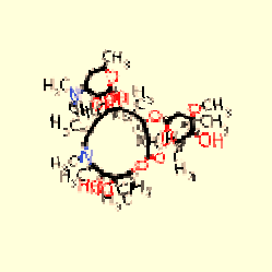 CC[C@H]1OC(=O)[C@H](C)[C@@H](O[C@H]2C[C@@](C)(OC)[C@@H](O)[C@H](C)O2)[C@H](C)[C@@H](O[C@@H]2O[C@H](C)C[C@H](N(C)C)[C@H]2O)C(C)(O)C[C@@H](C)CN(C)[C@H](C)[C@@H](O)[C@]1(C)O